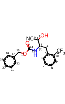 N#CC(O)[C@@H](Cc1ccccc1C(F)(F)F)NC(=O)OCc1ccccc1